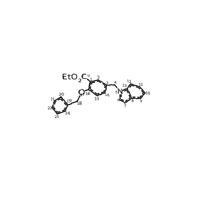 CCOC(=O)c1cc(Cn2ccc3ccccc32)ccc1OCc1ccccc1